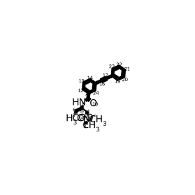 C[N+](C)(C)C[C@@H](CC(=O)[O-])NC(=O)c1cccc(C#Cc2ccccc2)c1